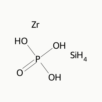 O=P(O)(O)O.[SiH4].[Zr]